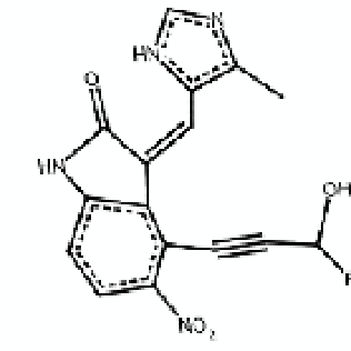 CCC(O)C#Cc1c([N+](=O)[O-])ccc2c1/C(=C/c1[nH]cnc1C)C(=O)N2